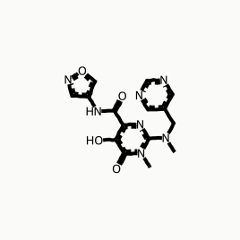 CN(Cc1cncnc1)c1nc(C(=O)Nc2cnoc2)c(O)c(=O)n1C